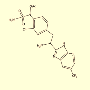 CC(=O)ON(c1ccc(CC(N)c2nc3cc(C(F)(F)F)ccc3[nH]2)cc1Cl)S(N)(=O)=O